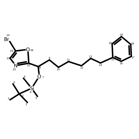 CC(C)(C)[Si](C)(C)OC(CCCCCCc1ccccc1)c1ncc(Br)o1